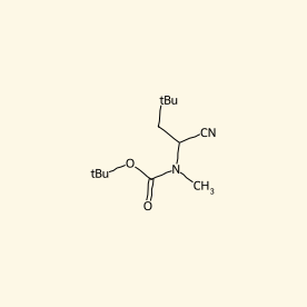 CN(C(=O)OC(C)(C)C)C(C#N)CC(C)(C)C